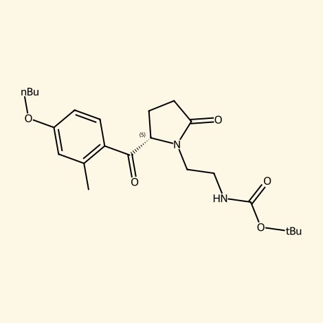 CCCCOc1ccc(C(=O)[C@@H]2CCC(=O)N2CCNC(=O)OC(C)(C)C)c(C)c1